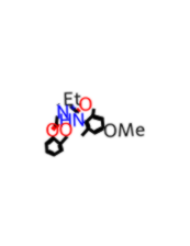 CCC(C(=O)Nc1c(C)cc(OC)cc1C)[N+](C)(C)CC(=O)OCc1ccccc1